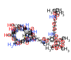 CC[C@H](C)[C@H]1NC(=O)CNC(=O)[C@@H]2Cc3c4[nH]c5cc(ccc35)OC1(CCCCCCN(C)C(=O)OCc1ccc(O[C@@H]3OC(C(=O)OC)[C@@H](OC(C)=O)C[C@H]3OC(C)=O)c(C(=O)NCCOCCOCCONC(=O)OC(C)(C)C)c1)C(=O)NCC(=O)N[C@@H](C[S+]4[O-])C(=O)N[C@@H](CC(N)=O)C(=O)N1C[C@H](O)C[C@H]1C(=O)N[C@@H]([C@@H](C)[C@@H](O)CO)C(=O)N2